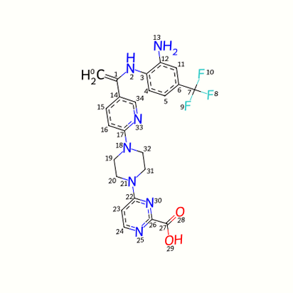 C=C(Nc1ccc(C(F)(F)F)cc1N)c1ccc(N2CCN(c3ccnc(C(=O)O)n3)CC2)nc1